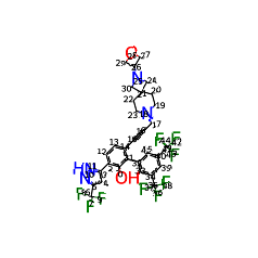 Oc1c(-c2cc(C(F)(F)F)n[nH]2)ccc(C#CCN2CCC3(CC2)CN(C2COC2)C3)c1-c1cc(C(F)(F)F)cc(C(F)(F)F)c1